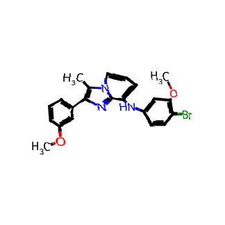 COc1cccc(-c2nc3c(Nc4ccc(Br)c(OC)c4)cccn3c2C)c1